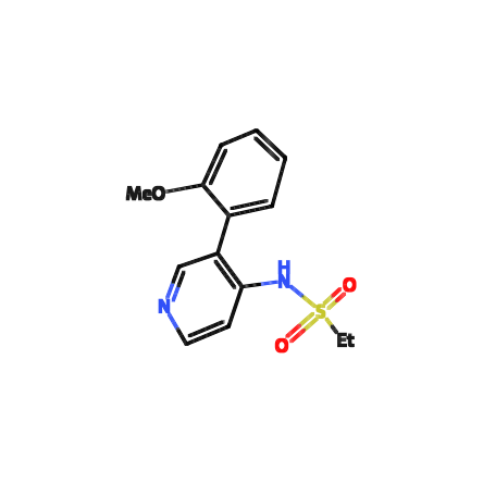 CCS(=O)(=O)Nc1ccncc1-c1ccccc1OC